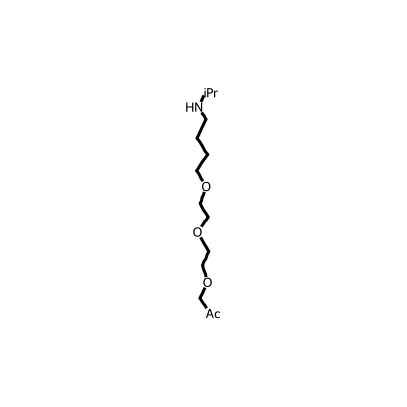 CC(=O)COCCOCCOCCCCNC(C)C